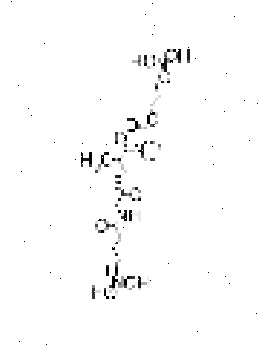 C[C@H](CSC(=O)CNC(=O)CCCON(O)O)C(=O)N1CCC[C@H]1C(=O)OCCCON(O)O